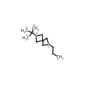 CCCN1CC2(C1)CN(C(C)(C)C)C2